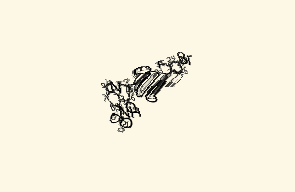 COC(=O)N[C@H]1CCc2ccn3c2C1C(=O)C[C@H](C(=O)OCC(=O)c1ccc(Br)cc1F)C3